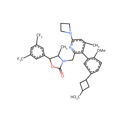 COc1ccc(C2CC(C(=O)O)C2)cc1-c1c(C)cc(N2CCC2)nc1CN1C(=O)OC(c2cc(C(F)(F)F)cc(C(F)(F)F)c2)C1C